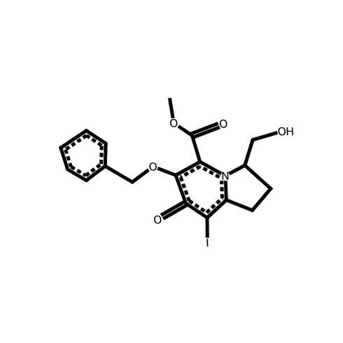 COC(=O)c1c(OCc2ccccc2)c(=O)c(I)c2n1C(CO)CC2